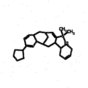 CCS(C)(C)C1=CC2CC3C=CC(C4CCCC4)=CC3C(C2)CC1C1CC=CCC1